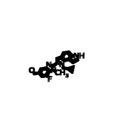 Cn1c(-c2cc3ccc4[nH]ccc4c3n2CC2CC2)nc2cc(C=O)cc(F)c21